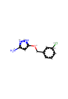 Nc1cc(OCc2cccc(Cl)c2)[nH]n1